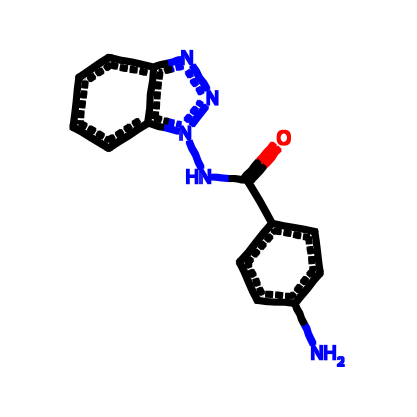 Nc1ccc(C(=O)Nn2nnc3ccccc32)cc1